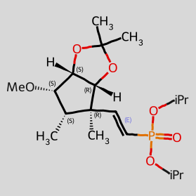 CO[C@@H]1[C@@H]2OC(C)(C)O[C@@H]2[C@@](C)(/C=C/P(=O)(OC(C)C)OC(C)C)[C@@H]1C